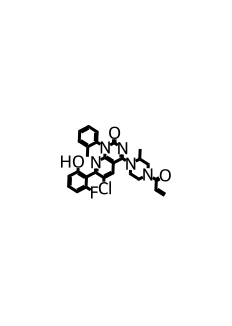 C=CC(=O)N1CCN(c2nc(=O)n(-c3ccccc3C)c3nc(-c4c(O)cccc4F)c(Cl)cc23)C(C)C1